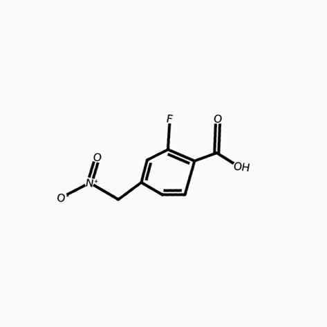 O=C(O)c1ccc(C[N+](=O)[O-])cc1F